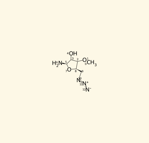 COC1C(O)[C@H](N)O[C@@H]1CN=[N+]=[N-]